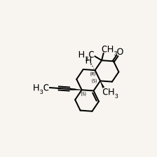 CC#C[C@]12CCCC=C1[C@@]1(C)CCC(=O)C(C)(C)[C@@H]1CC2